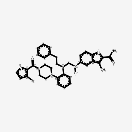 Cc1c(C(N)=O)oc2ccc([S+]([O-])CN(CCc3ccccc3)c3ccccc3N3CCN(C(=O)c4sccc4Br)CC3)cc12